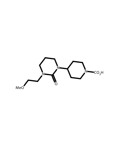 COCCN1CCCN(C2CCN(C(=O)O)CC2)C1=O